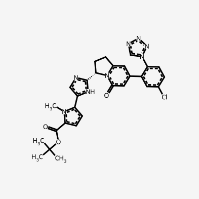 Cn1c(C(=O)OC(C)(C)C)ccc1-c1cnc([C@@H]2CCc3cc(-c4cc(Cl)ccc4-n4cnnn4)cc(=O)n32)[nH]1